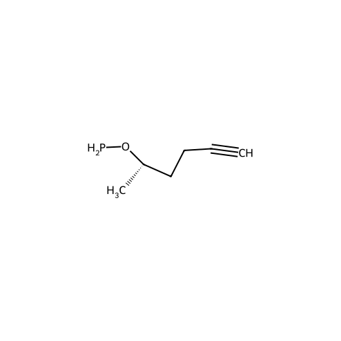 C#CCC[C@H](C)OP